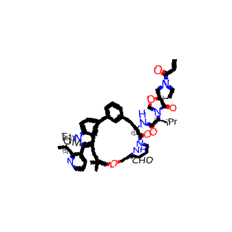 C=CC(=O)N1CC[C@@]2(C1)OCN([C@H](C(=O)N[C@H]1Cc3cccc(c3)-c3ccc4c(c3)c(c(-c3cccnc3[C@H](C)OC)n4CC)CC(C)(C)COC[C@@]3(C=O)CCCN(N3)C1=O)C(C)C)C2=O